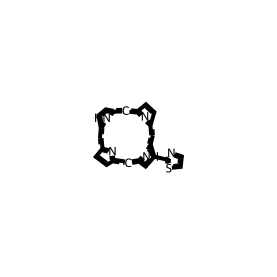 C1=Cc2cc3cc(-c4nccs4)c(cc4nc(cc5ccc(cc1n2)[nH]5)C=C4)[nH]3